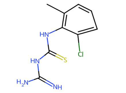 Cc1cccc(Cl)c1NC(=S)NC(=N)N